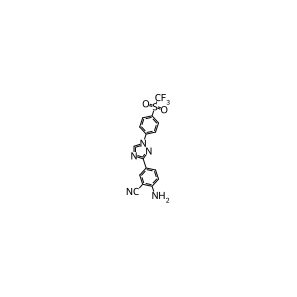 N#Cc1cc(-c2ncn(-c3ccc(S(=O)(=O)C(F)(F)F)cc3)n2)ccc1N